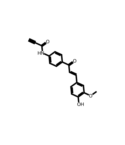 C#CC(=O)Nc1ccc(C(=O)/C=C/c2ccc(O)c(OC)c2)cc1